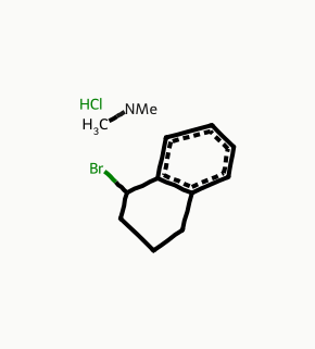 BrC1CCCc2ccccc21.CNC.Cl